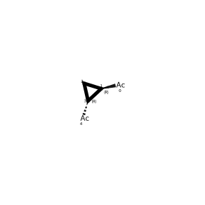 CC(=O)[C@@H]1C[C@H]1C(C)=O